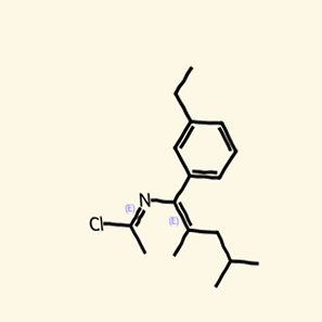 CCc1cccc(C(/N=C(\C)Cl)=C(/C)CC(C)C)c1